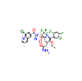 CCOc1c(CC(N)=O)cc([C@@](O)(CNC(=O)c2cc(Cl)c3ncc(C)cc3c2)C(F)(F)F)nc1-c1cc(F)c(F)cc1F